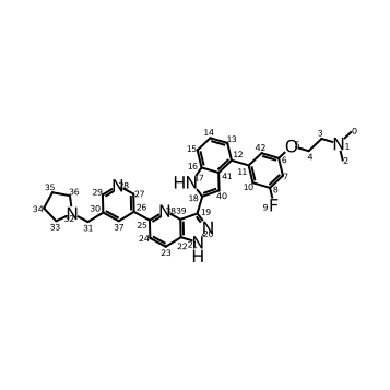 CN(C)CCOc1cc(F)cc(-c2cccc3[nH]c(-c4n[nH]c5ccc(-c6cncc(CN7CCCC7)c6)nc45)cc23)c1